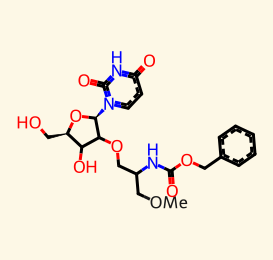 COCC(COC1C(O)[C@@H](CO)O[C@H]1n1ccc(=O)[nH]c1=O)NC(=O)OCc1ccccc1